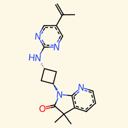 C=C(C)c1cnc(N[C@H]2C[C@H](N3C(=O)C(C)(C)c4cccnc43)C2)nc1